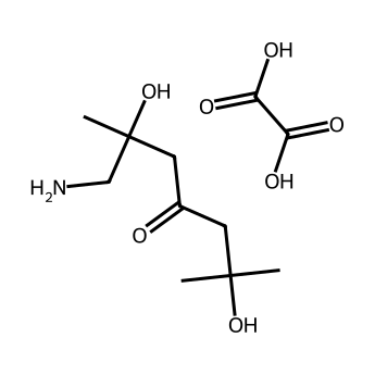 CC(C)(O)CC(=O)CC(C)(O)CN.O=C(O)C(=O)O